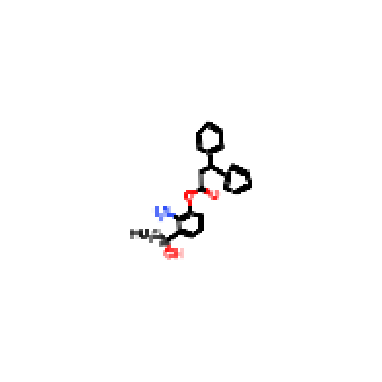 Nc1c(OC(=O)CC(c2ccccc2)c2ccccc2)cccc1[C@@H](O)C(=O)O